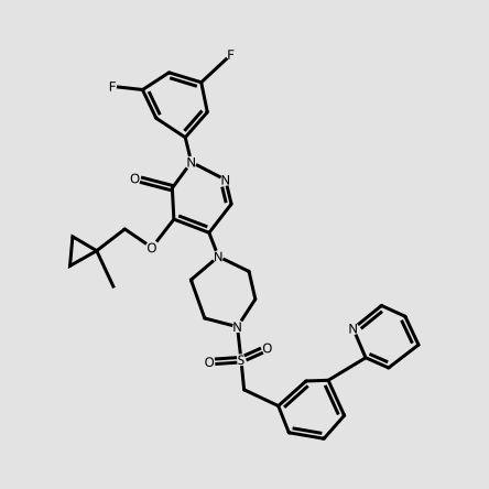 CC1(COc2c(N3CCN(S(=O)(=O)Cc4cccc(-c5ccccn5)c4)CC3)cnn(-c3cc(F)cc(F)c3)c2=O)CC1